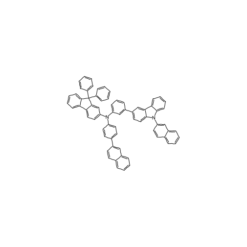 c1ccc(C2(c3ccccc3)c3ccccc3-c3ccc(N(c4ccc(-c5ccc6ccccc6c5)cc4)c4cccc(-c5ccc6c(c5)c5ccccc5n6-c5ccc6ccccc6c5)c4)cc32)cc1